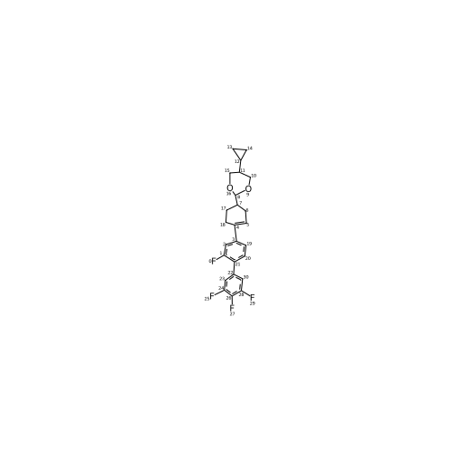 Fc1cc(C2=CCC(C3OCC(C4CC4)CO3)CC2)ccc1-c1cc(F)c(F)c(F)c1